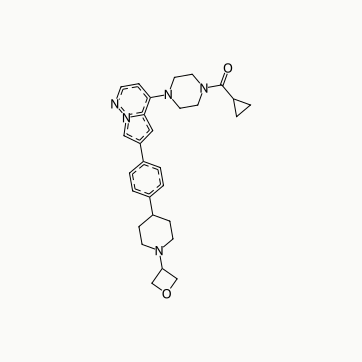 O=C(C1CC1)N1CCN(c2ccnn3cc(-c4ccc(C5CCN(C6COC6)CC5)cc4)cc23)CC1